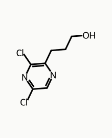 OCCCc1ncc(Cl)nc1Cl